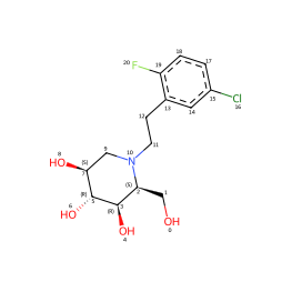 OC[C@H]1[C@@H](O)[C@H](O)[C@@H](O)CN1CCc1cc(Cl)ccc1F